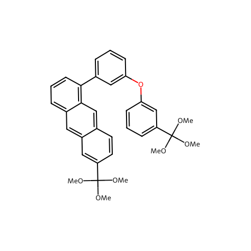 COC(OC)(OC)c1cccc(Oc2cccc(-c3cccc4cc5cc(C(OC)(OC)OC)ccc5cc34)c2)c1